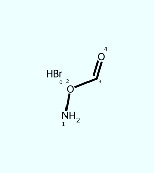 Br.NOC=O